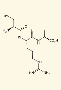 CC(C)C[C@H](N)C(=O)N[C@@H](CCCNC(=N)N)C(=O)N[C@@H](C)C(=O)O